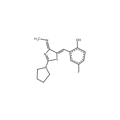 C/N=C1\N=C(N2CCCC2)S\C1=C/c1cc(F)ccc1O